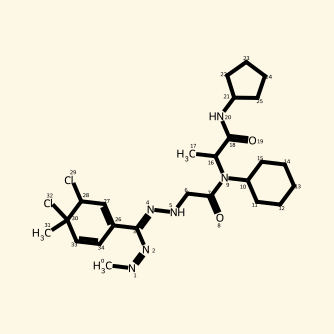 C/N=N\C(=N/NCC(=O)N(C1CCCCC1)C(C)C(=O)NC1CCCC1)C1=CC(Cl)C(C)(Cl)C=C1